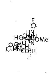 COc1nc(NCc2ccc(F)cc2)nc2c1ncn2[C@@H]1O[C@H](COP(=O)(NC(C)C(=O)O)Oc2cccc3ccccc23)[C@@H](O)[C@@]1(C)O